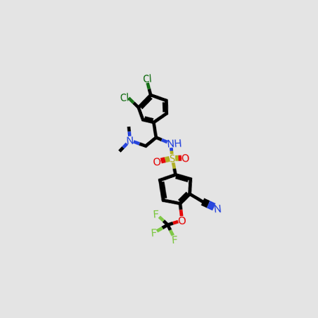 CN(C)CC(NS(=O)(=O)c1ccc(OC(F)(F)F)c(C#N)c1)c1ccc(Cl)c(Cl)c1